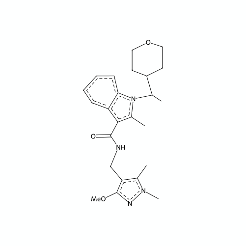 COc1nn(C)c(C)c1CNC(=O)c1c(C)n(C(C)C2CCOCC2)c2ccccc12